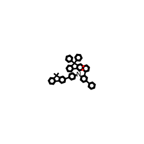 CC1(C)c2ccccc2-c2ccc(-c3ccc(N(c4ccc(-c5ccccc5)cc4-c4ccccc4)c4cccc5c4-c4ccccc4C5(c4ccccc4)c4ccccc4)cc3)cc21